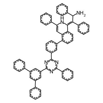 NC(/C(=C1\NC(c2ccccc2)=Cc2c1cccc2-c1cccc(-c2nc(-c3ccccc3)nc(-c3cc(-c4ccccc4)cc(-c4ccccc4)c3)n2)c1)c1ccccc1)c1ccccc1